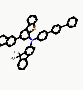 CC1(C)c2ccccc2-c2ccc(N(c3ccc(-c4ccc(-c5ccccc5)cc4)cc3)c3cc(-c4ccc5ccccc5c4)cc4c3sc3ccccc34)cc21